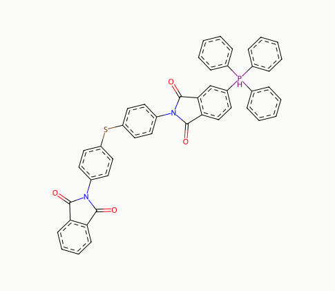 O=C1c2ccccc2C(=O)N1c1ccc(Sc2ccc(N3C(=O)c4ccc([PH](c5ccccc5)(c5ccccc5)c5ccccc5)cc4C3=O)cc2)cc1